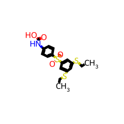 CCSc1cc(SCC)cc(S(=O)(=O)c2ccc(NC(=O)O)cc2)c1